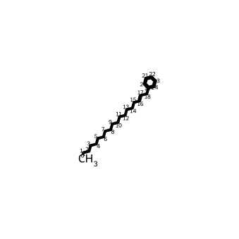 CCCCCCCCCCCCCCCCC=CCc1ccccc1